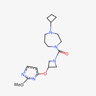 COc1nccc(OC2CN(C(=O)N3CCCN(C4CCC4)CC3)C2)n1